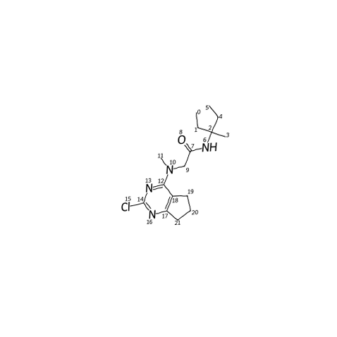 CCC(C)(CC)NC(=O)CN(C)c1nc(Cl)nc2c1CCC2